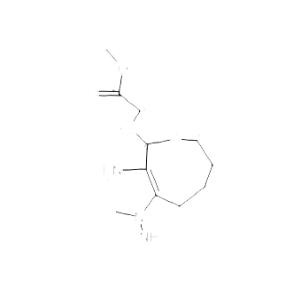 COC(=O)COC1CCCCC/C(N(N)I)=C\1N